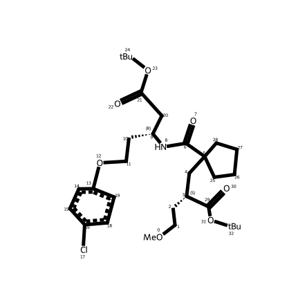 COCC[C@H](CC1(C(=O)N[C@H](CCOc2ccc(Cl)cc2)CC(=O)OC(C)(C)C)CCCC1)C(=O)OC(C)(C)C